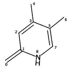 C=C1C=C(C)C(C)=CN1